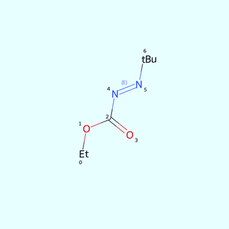 CCOC(=O)/N=N/C(C)(C)C